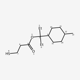 CCC(CC)(OC(=O)CCS)C1CCC(C)CC1